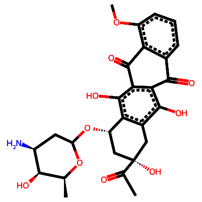 COc1cccc2c1C(=O)c1c(O)c3c(c(O)c1C2=O)C[C@@](O)(C(C)=O)C[C@@H]3OC1C[C@H](N)[C@H](O)[C@H](C)O1